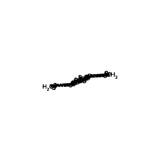 C=CC(=O)OCCCCCCCCCCOc1ccc(C(=O)Oc2ccc(OC(=O)c3ccc(OCCCCCCCCCCOC(=O)C=C)cc3)c(F)c2)cc1